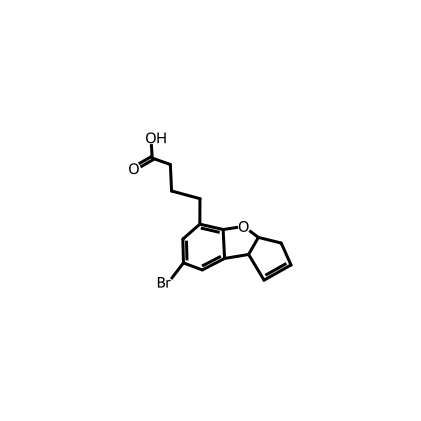 O=C(O)CCCc1cc(Br)cc2c1OC1CC=CC21